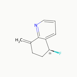 C=C1CC[C@H](F)c2cccnc21